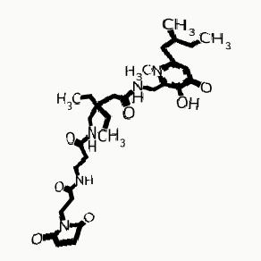 CCC(C)Cc1cc(=O)c(O)c(CNC(=O)CC(CC)(CC)CNC(=O)CCNC(=O)CCN2C(=O)C=CC2=O)n1C